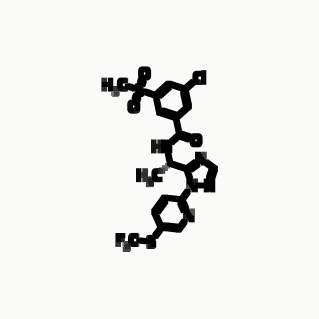 C[C@H](NC(=O)c1cc(Cl)cc(S(C)(=O)=O)c1)c1ncnn1-c1ccc(SC(F)(F)F)cn1